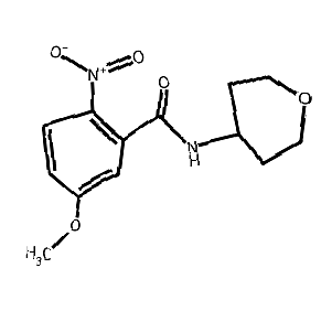 COc1ccc([N+](=O)[O-])c(C(=O)NC2CCOCC2)c1